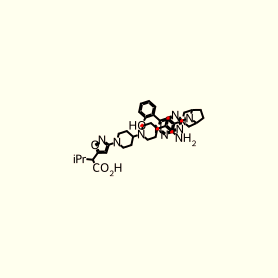 CC(C)C(C(=O)O)c1cc(N2CCC(N3CCC(c4cnc(N5C6CCC5CN(c5cc(-c7ccccc7O)nnc5N)C6)nc4)CC3)CC2)no1